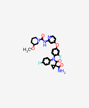 COC1CCCN(C(=O)Nc2cc(Oc3ccc(N(C(=O)C4(C(N)=O)CC4)c4ccc(F)cc4)c(F)c3)ccn2)C1